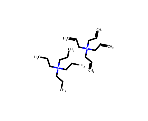 C=CC[N+](CC=C)(CC=C)CC=C.CCC[N+](CCC)(CCC)CCC